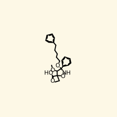 CCC1(C(=O)O)ONC(OCCCCCc2ccccc2)(c2ccccc2)C1OC